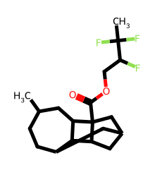 CC1CCC2CC3CC4C2C(C1)C4(C(=O)OCC(F)C(C)(F)F)C3